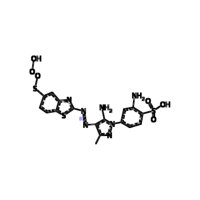 Cc1nn(-c2ccc(S(=O)(=O)O)c(N)c2)c(N)c1/N=N/c1nc2cc(SOOO)ccc2s1